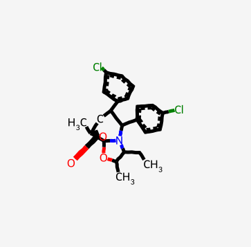 CCC1C(C)OC23OC(=O)CC2(C)CC(c2cccc(Cl)c2)C(c2ccc(Cl)cc2)N13